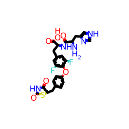 NC(Cc1c[nH]cn1)C(=O)NC(Cc1cc(F)c(Oc2ccc(CC3SC(=O)NC3=O)cc2)c(F)c1)C(=O)O